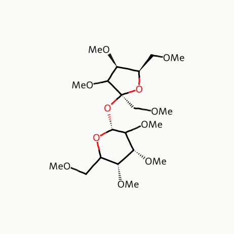 COCC1O[C@H](O[C@]2(COC)O[C@H](COC)[C@H](OC)C2OC)C(OC)[C@H](OC)[C@@H]1OC